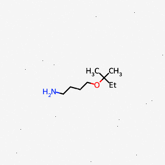 CCC(C)(C)OCCCCN